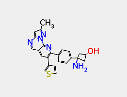 Cc1cc2ncc3cc(-c4ccsc4)c(-c4ccc([C@]5(N)C[C@H](O)C5)cc4)nc3n2n1